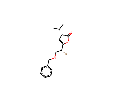 CC(C)[C@H]1C=C([C@H](Br)COCc2ccccc2)OC1=O